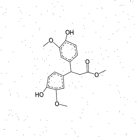 COC(=O)CC(c1ccc(O)c(OC)c1)c1ccc(O)c(OC)c1